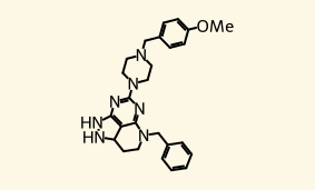 COc1ccc(CN2CCN(c3nc4c5c(n3)N(Cc3ccccc3)CCC5NN4)CC2)cc1